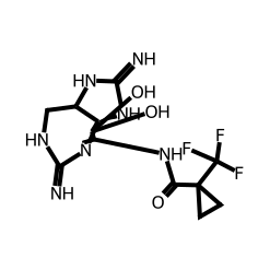 N=C1NC2CNC(=N)N3CC(NC(=O)C4(C(F)(F)F)CC4)C(O)(O)[C@]23N1